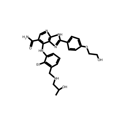 CCc1c(CNCC(C)O)cccc1Nc1c(C(N)=O)cnc2[nH]c(-c3ccc(OCCO)cc3)nc12